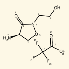 N[C@@H]1CON(CCO)C1=O.O=C(O)C(F)(F)F